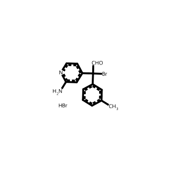 Br.Cc1cccc(C(Br)(C=O)c2ccnc(N)c2)c1